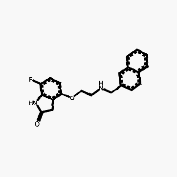 O=C1Cc2c(OCCNCc3ccc4ccccc4c3)ccc(F)c2N1